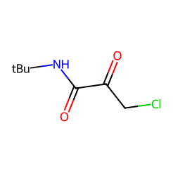 CC(C)(C)NC(=O)C(=O)CCl